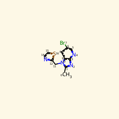 Cc1nc2ncc(Br)cc2n1Cc1nccs1